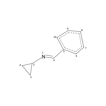 C(=N\C1CC1)/c1ccccc1